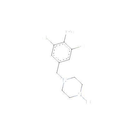 CCN1CCN(Cc2cc(Cl)c(C(C)(C)C)c(Cl)c2)CC1